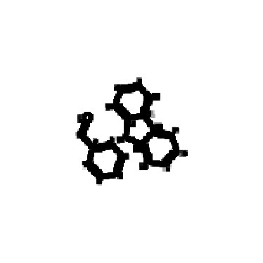 O=Cc1ccccc1.c1ccc2c(c1)Cc1ccccc1-2